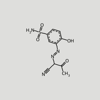 CC(=O)C(C#N)/N=N/c1cc(S(N)(=O)=O)ccc1O